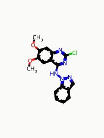 COc1cc2nc(Cl)nc(Nn3ncc4ccccc43)c2cc1OC